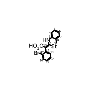 CCC(Nc1ccccc1C)=C(C(=O)O)c1ccccc1Br